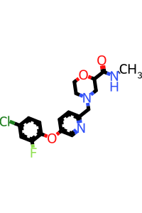 CNC(=O)C1CN(Cc2ccc(Oc3ccc(Cl)cc3F)cn2)CCO1